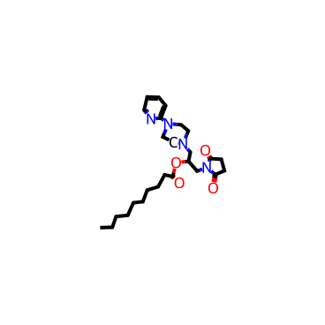 CCCCCCCCCC(=O)OC(CN1CCN(c2ccccn2)CC1)CN1C(=O)CCC1=O